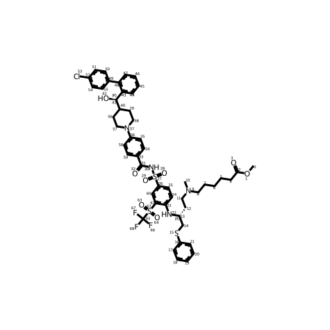 COC(=O)CCCCCN(C)CC[C@H](CSc1ccccc1)Nc1ccc(S(=O)(=O)NC(=O)c2ccc(N3CCC([C@@H](O)c4ccccc4-c4ccc(Cl)cc4)CC3)cc2)cc1S(=O)(=O)C(F)(F)F